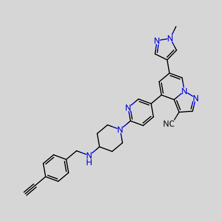 C#Cc1ccc(CNC2CCN(c3ccc(-c4cc(-c5cnn(C)c5)cn5ncc(C#N)c45)cn3)CC2)cc1